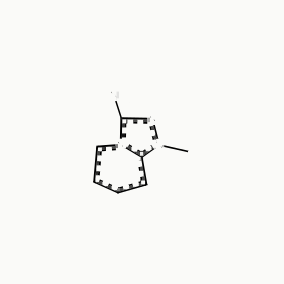 C[n+]1nc(N)n2ccccc21